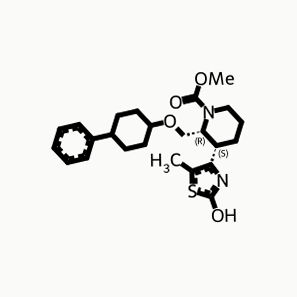 COC(=O)N1CCC[C@H](c2nc(O)sc2C)[C@@H]1COC1CCC(c2ccccc2)CC1